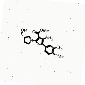 COC(=O)c1c(N2CC[C@H](CO)C2)sc(-c2ccc(OC)c(C(F)(F)F)c2)c1N